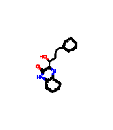 O=c1[nH]c2ccccc2nc1C(O)CCc1ccccc1